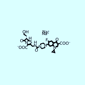 O=C([O-])C1=C(CNC(=O)N2CCN(c3cc4c(cc3F)c(=O)c(C(=O)[O-])cn4C3CC3)CC2)S[C@@H]2[C@@H](CCO)C(=O)N12.[Na+].[Na+]